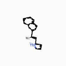 N#C/C(=C\c1ccc[nH]1)c1ccc2ccccc2c1